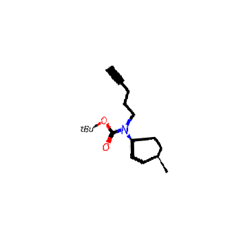 C#CCCCN(C(=O)OC(C)(C)C)[C@H]1CC[C@@H](C)CC1